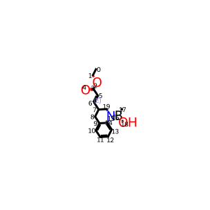 CCOC(=O)/C=C/C1Cc2ccccc2N(B(C)O)C1